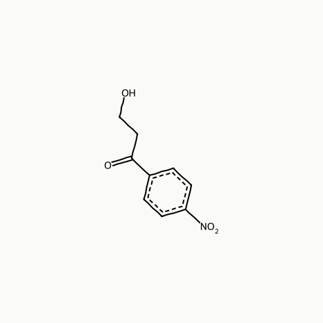 O=C(CCO)c1ccc([N+](=O)[O-])cc1